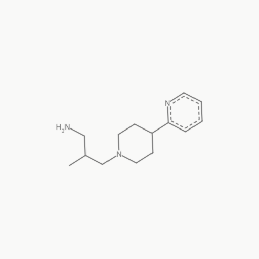 CC(CN)CN1CCC(c2ccccn2)CC1